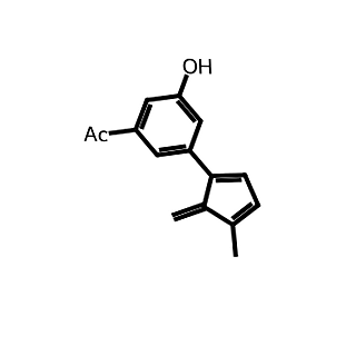 C=C1C(C)=CC=C1c1cc(O)cc(C(C)=O)c1